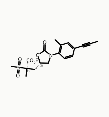 CC#Cc1ccc(N2C[C@H](C[C@](C)(C(=O)OCC)S(C)(=O)=O)OC2=O)c(C)c1